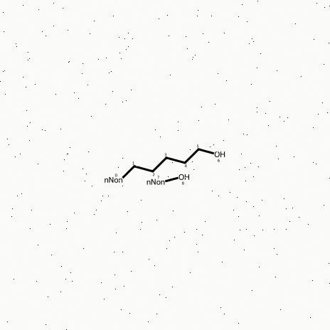 CCCCCCCCCCCCCCO.CCCCCCCCCO